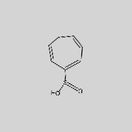 O=S(O)C1=CC=CCC=C1